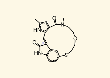 Cc1cc2c([nH]1)/C=C1\C(=O)Nc3ccc(cc31)SCCOCCN(C)C2=O